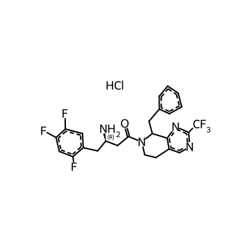 Cl.N[C@@H](CC(=O)N1CCc2cnc(C(F)(F)F)nc2C1Cc1ccccc1)Cc1cc(F)c(F)cc1F